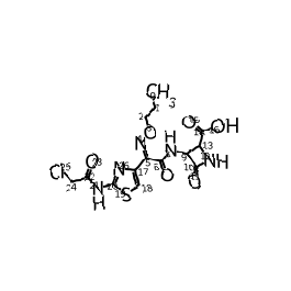 CCCON=C(C(=O)NC1C(=O)NC1C(=O)O)c1csc(NC(=O)CCl)n1